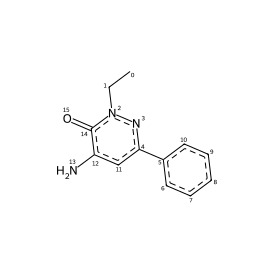 CCn1nc(-c2ccccc2)cc(N)c1=O